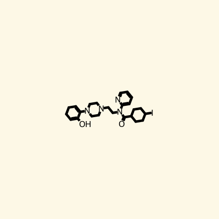 O=C(C1CCC(I)CC1)N(CCN1CCN(C2=CCCC=C2O)CC1)c1ccccn1